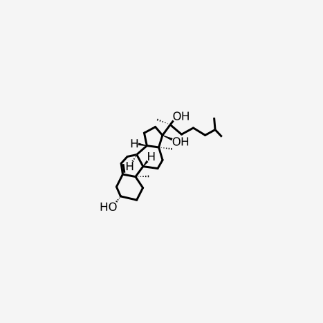 CC(C)CCC[C@](C)(O)[C@@]1(O)CC[C@H]2[C@@H]3CC=C4C[C@@H](O)CC[C@]4(C)[C@H]3CC[C@@]21C